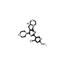 Nc1cc(Cl)c(-c2nc(N3CCOCC3)c3c(n2)N2CCOC[C@@H]2C3)cn1